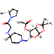 COC(=O)O[C@H]1[C@H]2OC(C)(C)O[C@H]2O[C@@H]1CN1CCC(C)(NCC(=O)N2CCC[C@H]2C#N)CC1